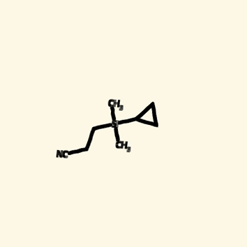 C[Si](C)(CCC#N)C1CC1